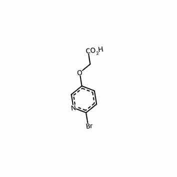 O=C(O)COc1ccc(Br)nc1